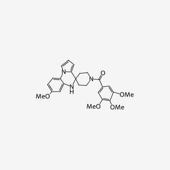 COc1ccc2c(c1)NC1(CCN(C(=O)c3cc(OC)c(OC)c(OC)c3)CC1)c1cccn1-2